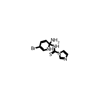 NC1(NC(=S)n2ccnc2)C=CC(Br)=CN1